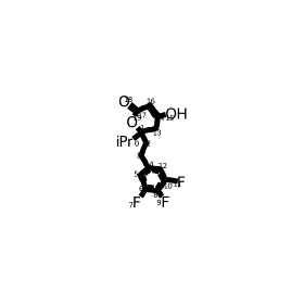 CC(C)C1(CCc2cc(F)c(F)c(F)c2)CC(O)=CC(=O)O1